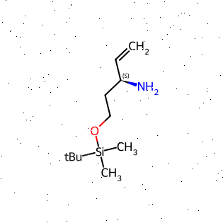 C=C[C@@H](N)CCO[Si](C)(C)C(C)(C)C